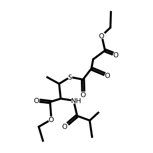 CCOC(=O)CC(=O)C(=O)SC(C)C(NC(=O)C(C)C)C(=O)OCC